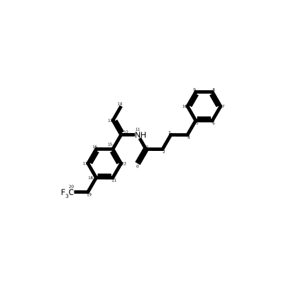 C=C(CCCc1ccccc1)N/C(=C\C)c1ccc(CC(F)(F)F)cc1